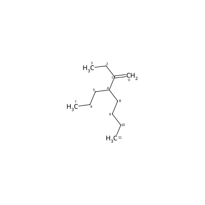 C=C(CC)C(CCC)CCCC